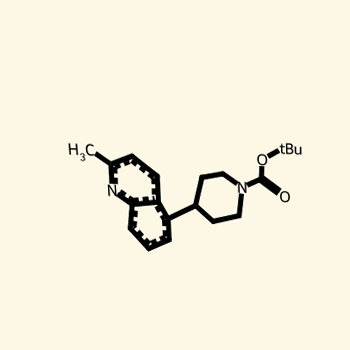 Cc1ccc2c(C3CCN(C(=O)OC(C)(C)C)CC3)cccc2n1